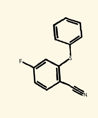 N#Cc1ccc(F)cc1Sc1ccccc1